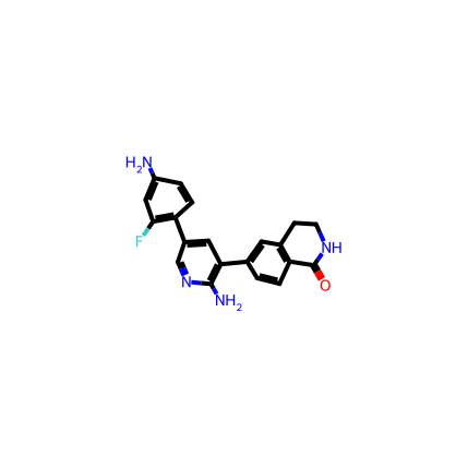 Nc1ccc(-c2cnc(N)c(-c3ccc4c(c3)CCNC4=O)c2)c(F)c1